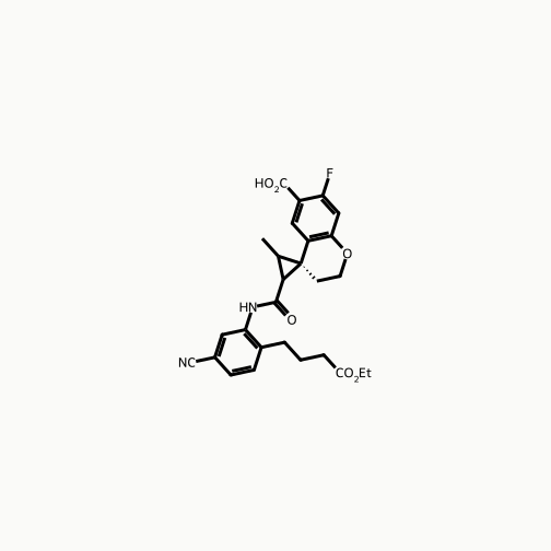 CCOC(=O)CCCc1ccc(C#N)cc1NC(=O)C1C(C)[C@]12CCOc1cc(F)c(C(=O)O)cc12